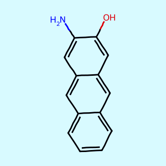 Nc1cc2cc3ccccc3cc2cc1O